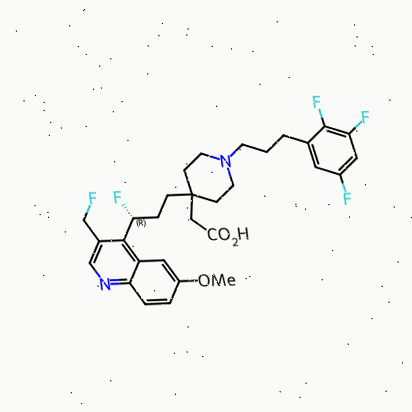 COc1ccc2ncc(CF)c([C@H](F)CCC3(CC(=O)O)CCN(CCCc4cc(F)cc(F)c4F)CC3)c2c1